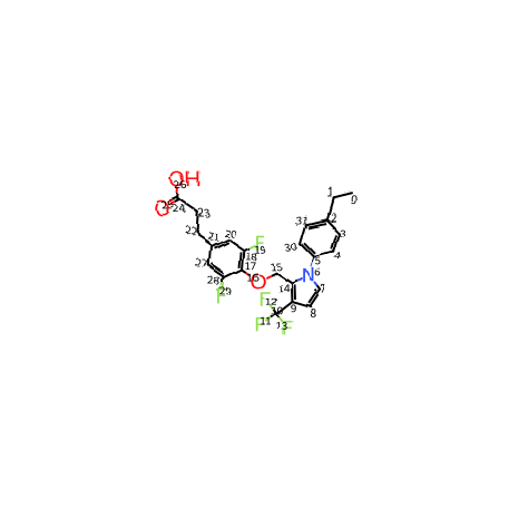 CCc1ccc(-n2ccc(C(F)(F)F)c2COc2c(F)cc(CCC(=O)O)cc2F)cc1